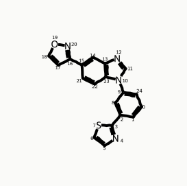 c1cc(-c2nccs2)cc(-n2cnc3cc(-c4ccon4)ccc32)c1